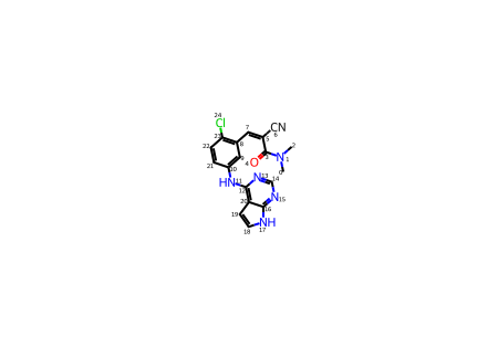 CN(C)C(=O)C(C#N)=Cc1cc(Nc2ncnc3[nH]ccc23)ccc1Cl